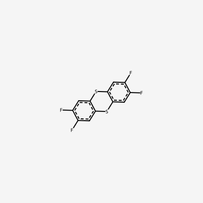 Fc1cc2c(cc1F)Sc1cc(F)c(F)cc1S2